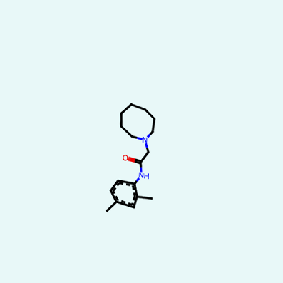 Cc1ccc(NC(=O)CN2CCCCCCC2)c(C)c1